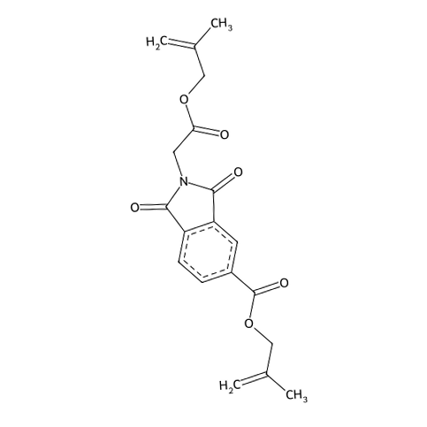 C=C(C)COC(=O)CN1C(=O)c2ccc(C(=O)OCC(=C)C)cc2C1=O